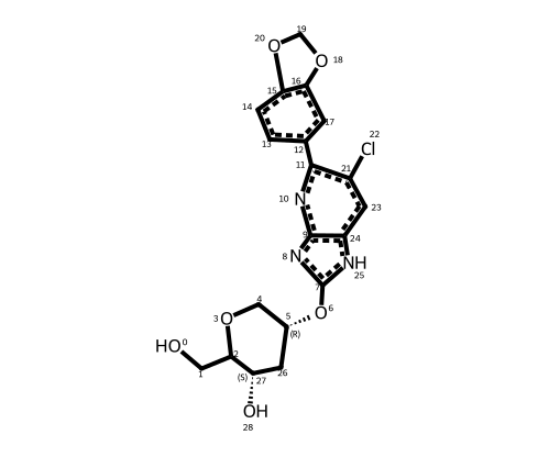 OCC1OC[C@H](Oc2nc3nc(-c4ccc5c(c4)OCO5)c(Cl)cc3[nH]2)C[C@@H]1O